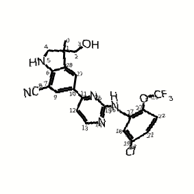 CC1(CO)CNc2c(C#N)cc(-c3ccnc(Nc4cc(Cl)ccc4OC(F)(F)F)n3)cc21